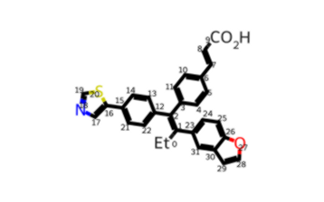 CC/C(=C(/c1ccc(/C=C/C(=O)O)cc1)c1ccc(-c2cncs2)cc1)c1ccc2occc2c1